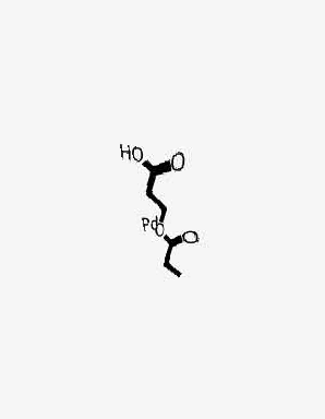 CCC(=O)OCCC(=O)O.[Pd]